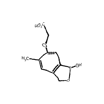 Cc1cc2c(cc1OCC(=O)O)B(O)OC2